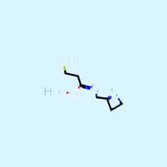 CO/C(CCS)=N\CC1=NCC1